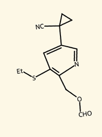 CCSc1cc(C2(C#N)CC2)cnc1COC=O